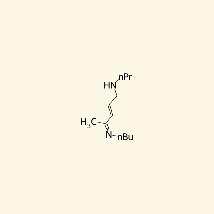 CCCCN=C(C)C=CCNCCC